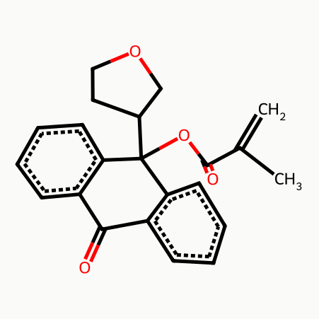 C=C(C)C(=O)OC1(C2CCOC2)c2ccccc2C(=O)c2ccccc21